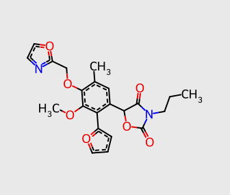 CCCN1C(=O)OC(c2cc(C)c(OCc3ncco3)c(OC)c2-c2ccco2)C1=O